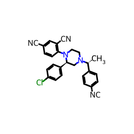 [C-]#[N+]c1ccc([C@@H](C)N2CCN(c3ccc(C#N)cc3C#N)[C@H](c3ccc(Cl)cc3)C2)cc1